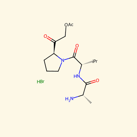 Br.CC(=O)OCC(=O)[C@@H]1CCCN1C(=O)[C@@H](NC(=O)[C@H](C)N)C(C)C